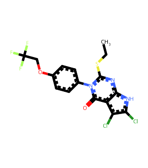 CCSc1nc2[nH]c(Cl)c(Cl)c2c(=O)n1-c1ccc(OCC(F)(F)F)cc1